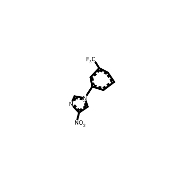 O=[N+]([O-])c1cn(-c2cccc(C(F)(F)F)c2)cn1